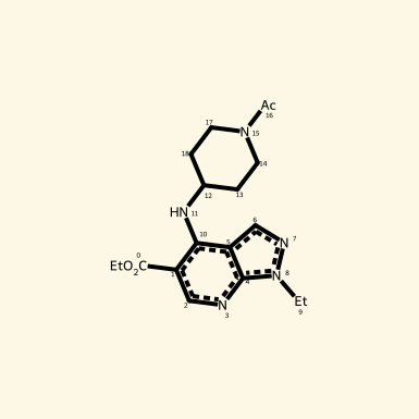 CCOC(=O)c1cnc2c(cnn2CC)c1NC1CCN(C(C)=O)CC1